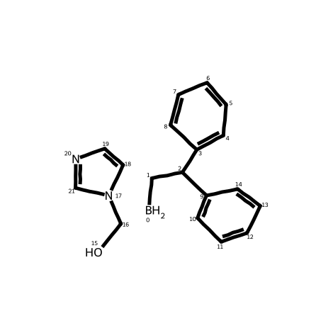 BCC(c1ccccc1)c1ccccc1.OCn1ccnc1